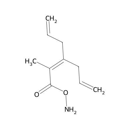 C=CCC(CC=C)=C(C)C(=O)ON